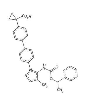 CC(OC(=O)Nc1c(C(F)(F)F)cnn1-c1ccc(-c2ccc(C3(C(=O)O)CC3)cc2)cc1)c1ccccc1